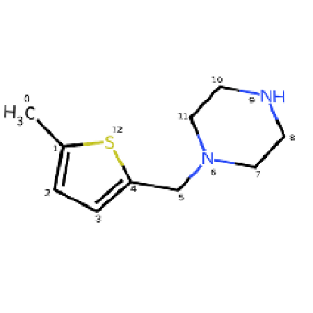 Cc1ccc(CN2CCNCC2)s1